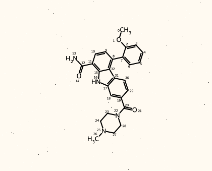 COc1ccccc1-c1ccc(C(N)=O)c2[nH]c3cc(C(=O)N4CCN(C)CC4)ccc3c12